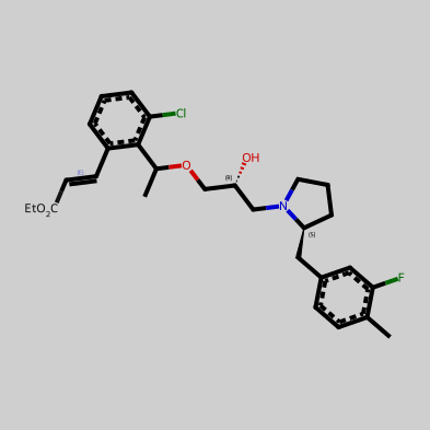 CCOC(=O)/C=C/c1cccc(Cl)c1C(C)OC[C@H](O)CN1CCC[C@H]1Cc1ccc(C)c(F)c1